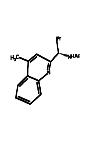 CC(=O)N[C@H](c1cc(C)c2ccccc2n1)C(C)C